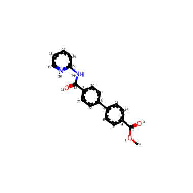 COC(=O)c1ccc(-c2ccc(C(=O)Nc3ccccn3)cc2)cc1